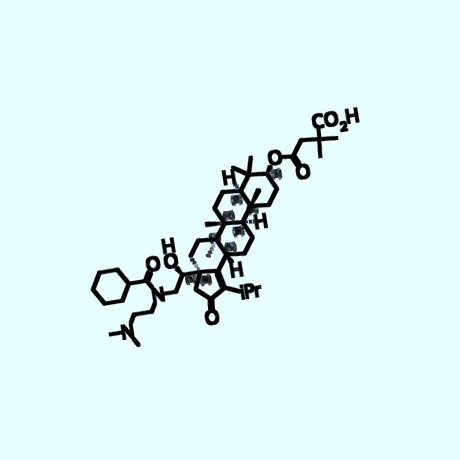 CC(C)C1=C2[C@H]3CC[C@@H]4[C@@]5(C)CC[C@H](OC(=O)CC(C)(C)C(=O)O)C(C)(C)[C@@H]5CC[C@@]4(C)[C@]3(C)CC[C@@]2([C@H](O)CN(CCN(C)C)C(=O)C2CCCCC2)CC1=O